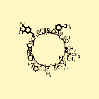 CCC(C)[C@@H]1NC(=O)[C@H](C)N(C)C(=O)C[C@@H](C)NC(=O)[C@H](C2CCCC2)N(C)C(=O)C2(CCCC2)NC(=O)[C@@H]2CCCN2C(=O)[C@H](CCc2ccc(C(F)(F)F)c(Cl)c2)NC(=O)[C@@H](C)N(C)C(=O)[C@H](Cc2ccc(C)cc2)N(C)C(=O)CN(C)C(=O)CN(C)C1=O